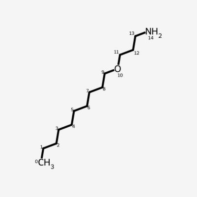 CCCCCCCCCCOCCCN